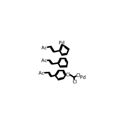 CC(=O)C=Cc1ccccc1.CC(=O)C=Cc1ccccc1.CC(=O)C=Cc1ccccc1.ClC(Cl)Cl.[Pd].[Pd]